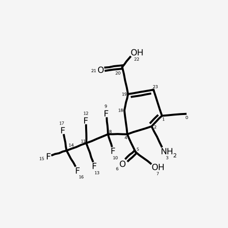 CC1=C(N)C(C(=O)O)(C(F)(F)C(F)(F)C(F)(F)F)CC(C(=O)O)=C1